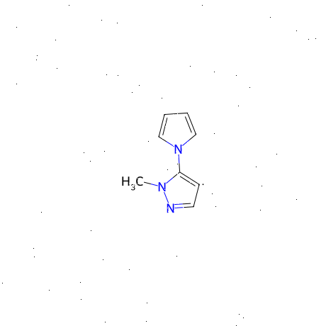 Cn1nc[c]c1-n1cccc1